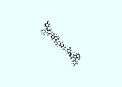 Cc1ccc(-n2c3ccccc3c3cc(-c4ccc5c(c4)C(C)(C)c4cc6c(cc4-5)C(C)(C)c4cc(/C=C/c5ccc(C7=CC=C8C(C7)c7ccccc7N8c7ccccc7)cc5)ccc4-6)ccc32)cc1